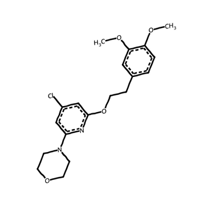 COc1ccc(CCOc2cc(Cl)cc(N3CCOCC3)n2)cc1OC